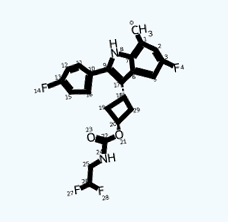 Cc1cc(F)cc2c1[nH]c(-c1ccc(F)cc1)c2[C@H]1C[C@H](OC(=O)NCC(F)F)C1